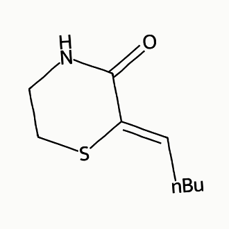 CCCCC=C1SCCNC1=O